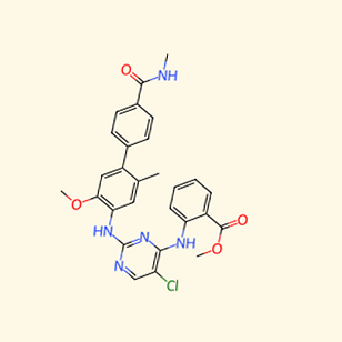 CNC(=O)c1ccc(-c2cc(OC)c(Nc3ncc(Cl)c(Nc4ccccc4C(=O)OC)n3)cc2C)cc1